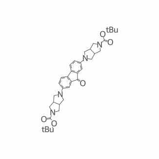 CC(C)(C)OC(=O)N1CC2CN(c3ccc4c(c3)C(=O)c3cc(N5CC6CN(C(=O)OC(C)(C)C)CC6C5)ccc3-4)CC2C1